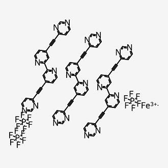 C(#Cc1ccncn1)c1ccnc(-c2cc(C#Cc3ccncn3)ccn2)c1.C(#Cc1ccncn1)c1ccnc(-c2cc(C#Cc3ccncn3)ccn2)c1.C(#Cc1ccncn1)c1ccnc(-c2cc(C#Cc3ccncn3)ccn2)c1.F[P-](F)(F)(F)(F)F.F[P-](F)(F)(F)(F)F.F[P-](F)(F)(F)(F)F.[Fe+3]